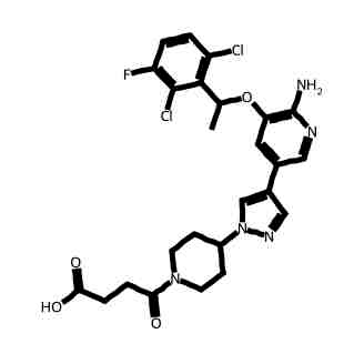 CC(Oc1cc(-c2cnn(C3CCN(C(=O)CCC(=O)O)CC3)c2)cnc1N)c1c(Cl)ccc(F)c1Cl